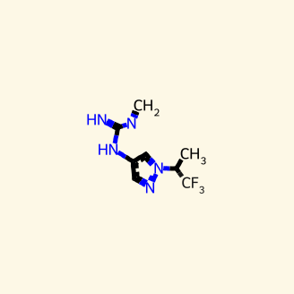 C=NC(=N)Nc1cnn(C(C)C(F)(F)F)c1